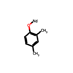 Cc1ccc([O][Nd])c(C)c1